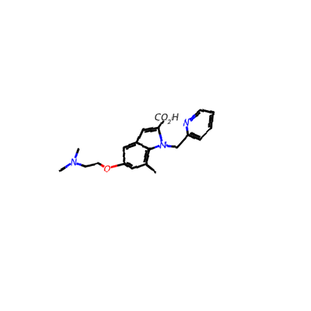 Cc1cc(OCCN(C)C)cc2cc(C(=O)O)n(Cc3ccccn3)c12